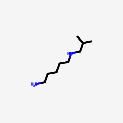 CC(C)CNCCCCCN